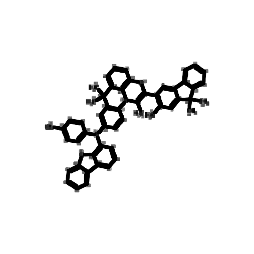 CC1=C(c2cc3c(cc2C)C(C)(C)c2ccccc2-3)Oc2cccc3c2B1c1ccc(N(c2ccc(C(C)(C)C)cc2)c2cccc4c2oc2ccccc24)cc1C3(C)C